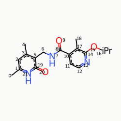 Cc1cc(C)c(CNC(=O)c2ccnc(OC(C)C)c2C)c(=O)[nH]1